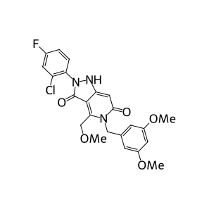 COCc1c2c(=O)n(-c3ccc(F)cc3Cl)[nH]c2cc(=O)n1Cc1cc(OC)cc(OC)c1